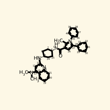 Cc1c(C(=O)N[C@H]2CC[C@@H](Nc3cc(N(C)C)c4ccccc4n3)CC2)cc(-c2ccccc2)n1-c1ccccc1